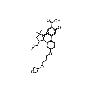 COCC1CC(C)(C)N2C1c1cc(OCCCOC3COC3)ccc1-c1cc(=O)c(C(=O)O)cn12